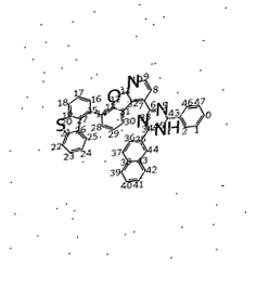 c1ccc(C2N=C(c3ccnc4oc5c(-c6cccc7sc8ccccc8c67)cccc5c34)N=C(c3ccc4ccccc4c3)N2)cc1